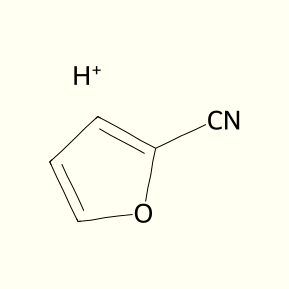 N#Cc1ccco1.[H+]